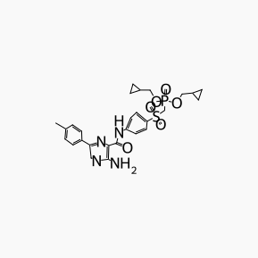 Cc1ccc(-c2cnc(N)c(C(=O)Nc3ccc(S(=O)(=O)CP(=O)(OCC4CC4)OCC4CC4)cc3)n2)cc1